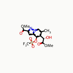 COC(=O)c1cc2c(OS(=O)(=O)C(F)(F)F)c([C@H](O)C(=O)OC)c(C)cn2n1